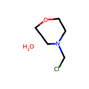 ClCN1CCOCC1.O